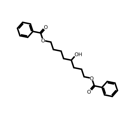 O=C(OCCCCC(O)CCCOC(=O)c1ccccc1)c1ccccc1